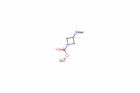 C=NC1CN(C(=O)OC(C)(C)C)C1